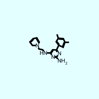 Cc1cc(C)cc(-c2cc(NCCN3C=CC=CC3)nc(N)n2)c1